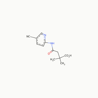 CC(C)(CC(=O)Nc1ccc(C#N)cn1)C(=O)O